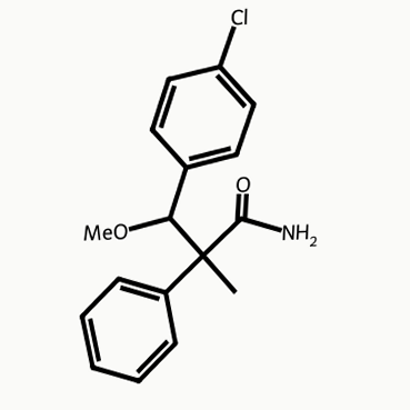 COC(c1ccc(Cl)cc1)C(C)(C(N)=O)c1ccccc1